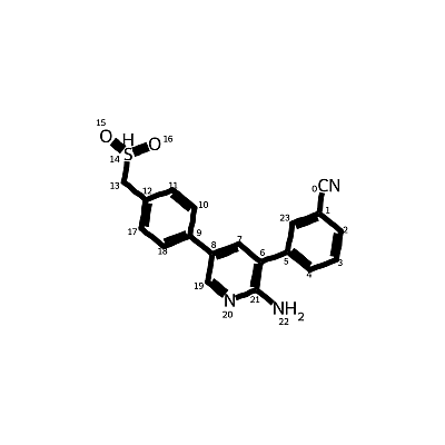 N#Cc1cccc(-c2cc(-c3ccc(C[SH](=O)=O)cc3)cnc2N)c1